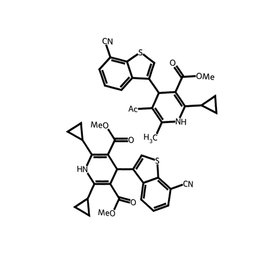 COC(=O)C1=C(C2CC2)NC(C)=C(C(C)=O)C1c1csc2c(C#N)cccc12.COC(=O)C1=C(C2CC2)NC(C2CC2)=C(C(=O)OC)C1c1csc2c(C#N)cccc12